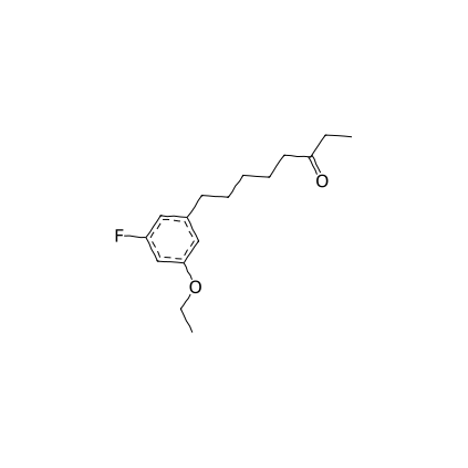 CCOc1cc(F)cc(CCCCCC(=O)CC)c1